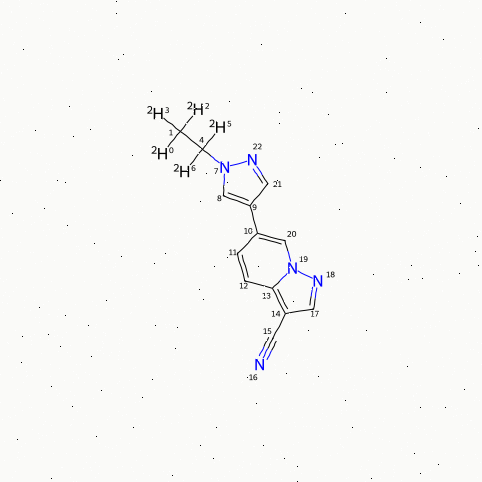 [2H]C([2H])([2H])C([2H])([2H])n1cc(-c2ccc3c(C#N)cnn3c2)cn1